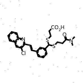 CN(C)C(=O)CCSC(SCCC(=O)O)c1cccc(C=Cc2nc3ccccc3cc2Cl)c1